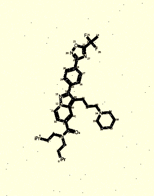 CC(C)CCN(CCC(C)C)C(=O)c1ccn2nc(-c3ccc(-c4noc(C(C)(F)F)n4)cc3)c(CCCN3CCCCC3)c2c1